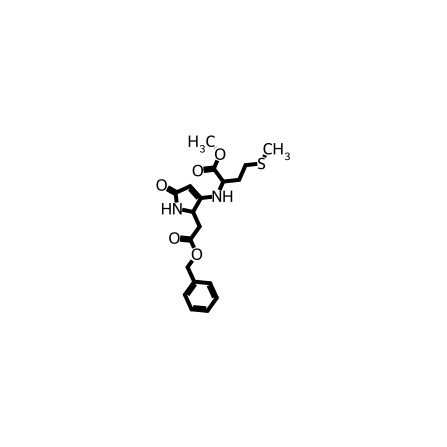 COC(=O)C(CCSC)NC1=CC(=O)NC1CC(=O)OCc1ccccc1